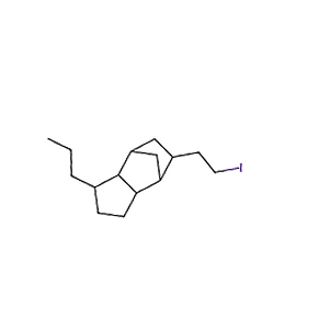 CCCC1CCC2C3CC(CC3CCI)C12